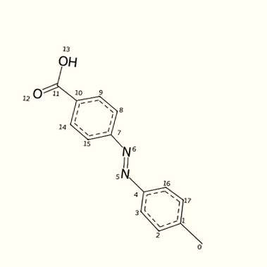 Cc1ccc(/N=N/c2ccc(C(=O)O)cc2)cc1